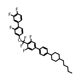 CCCCCC1CCC(c2ccc(-c3cc(F)c(C(F)(F)Oc4ccc(-c5ccc(F)c(F)c5)c(F)c4)c(F)c3)cc2)CC1